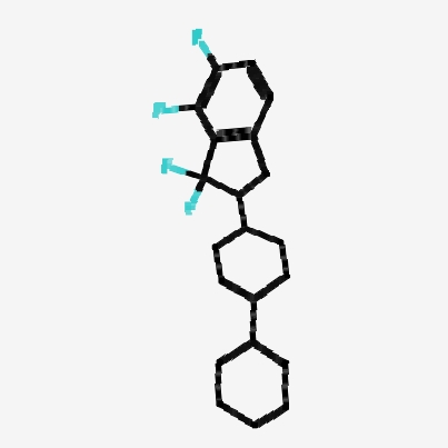 Fc1ccc2c(c1F)C(F)(F)C(C1CCC(C3CCCCC3)CC1)C2